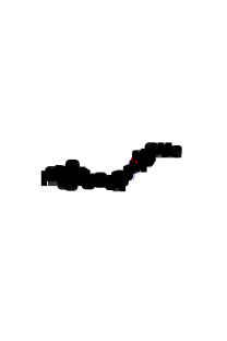 COc1ccc2nc(/C=C/C=C/c3ccc(OCCOCCOc4ccc5c(c4)C(=O)N(C4CCC(=O)NC4=O)C5=O)nc3)sc2c1